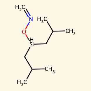 C=NO[SiH](CC(C)C)CC(C)C